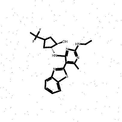 CCNc1nc(C)c(-c2nc3ccccc3s2)c(N[C@@H]2CC(C(C)(F)F)C[C@H]2O)n1